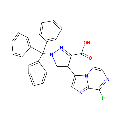 O=C(O)c1nn(C(c2ccccc2)(c2ccccc2)c2ccccc2)cc1-c1cnc2c(Cl)nccn12